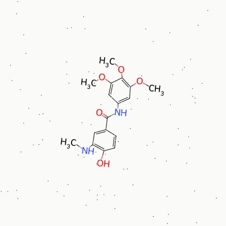 CNc1cc(C(=O)Nc2cc(OC)c(OC)c(OC)c2)ccc1O